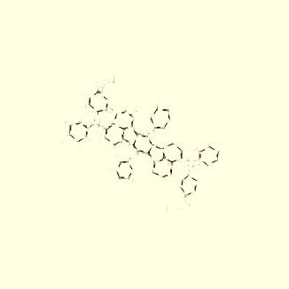 Cc1ccc(N(c2ccc(OC(C)(C)C)cc2)c2ccc3c4c(-c5ccccc5)c5c6cccc7c(N(c8ccc(C)cc8)c8ccc(OC(C)(C)C)cc8)ccc(c5c(-c5ccccc5)c4c4cccc2c43)c76)cc1